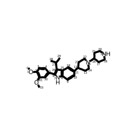 COc1ccc(-c2[nH]c3ccc(C4CCN(C5CCNCC5)CC4)cc3c2C(C)C)cc1OC